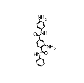 Nc1ccc(NC(=O)c2ccc(C(=O)Nc3ccccc3)c(N)c2)cc1